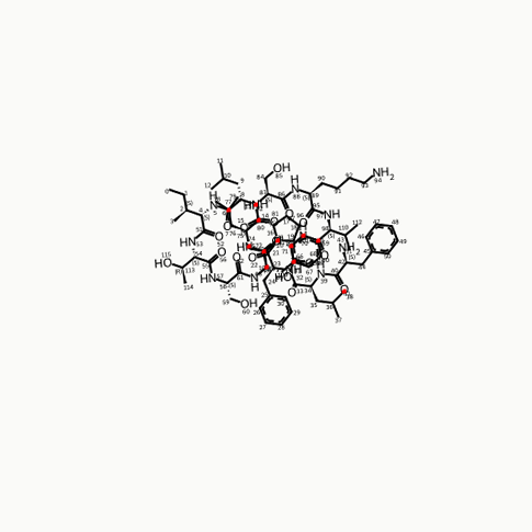 CC[C@H](C)[C@H](NC(=O)[C@H](CC(C)C)NC(=O)[C@@H]1CCCN1C(=O)[C@H](Cc1ccccc1)NC(=O)[C@H](CC(C)C)NC(=O)[C@@H](N)Cc1ccccc1)C(=O)N[C@H](C(=O)N[C@@H](CO)C(=O)N[C@@H](Cc1ccccc1)C(=O)N[C@@H](CC(C)C)C(=O)N[C@@H](CO)C(=O)N[C@@H](CCCCN)C(=O)N[C@H](C(=O)N[C@@H](CC(C)C)C(=O)O)C(C)C)[C@@H](C)O